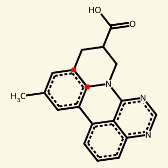 Cc1cccc(-c2cccc3ncnc(N4CCCC(C(=O)O)C4)c23)c1